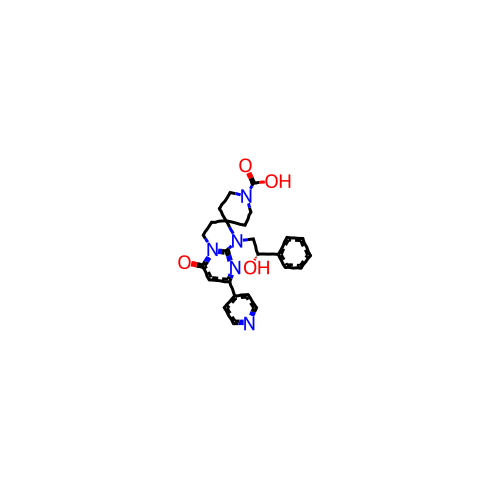 O=C(O)N1CCC2(CC1)CCn1c(nc(-c3ccncc3)cc1=O)N2C[C@@H](O)c1ccccc1